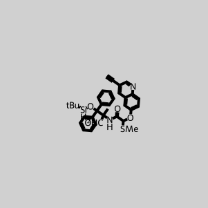 C#Cc1cnc2ccc(OC(SC)C(=O)NC(C)(C=O)C(O[SiH2]C(C)(C)C)(c3ccccc3)c3ccccc3)cc2c1